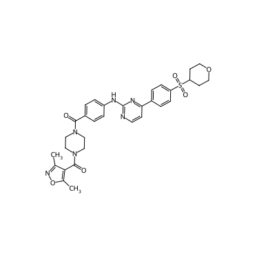 Cc1noc(C)c1C(=O)N1CCN(C(=O)c2ccc(Nc3nccc(-c4ccc(S(=O)(=O)C5CCOCC5)cc4)n3)cc2)CC1